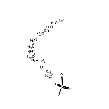 O.O.O.O.O.O.O.O.O.O.O.O.O=S(=O)([O-])[O-].[Fe+].[NH4+]